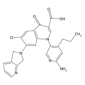 CCCc1cc(N)ncc1-n1cc(C(=O)O)c(=O)c2cc(Cl)c(N3Cc4cccnc4C3)cc21